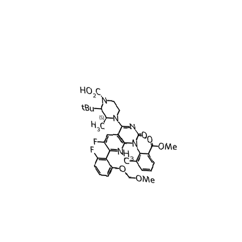 COCOc1cccc(F)c1-c1nc2c(cc1F)c(N1CCN(C(=O)O)C(C(C)(C)C)[C@@H]1C)nc(=O)n2-c1c(C)cccc1C(=O)OC